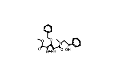 COC(=O)c1n[nH]c(C(=O)N(C)C[C@@H](O)c2ccccc2)c1OCc1ccccc1